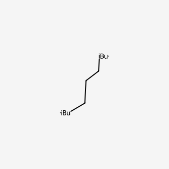 CC[C](C)CCC[C](C)CC